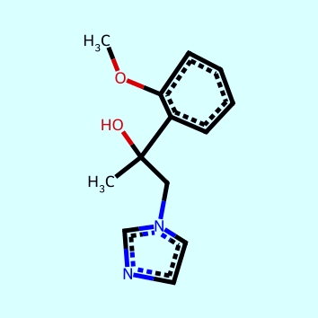 COc1ccccc1C(C)(O)Cn1ccnc1